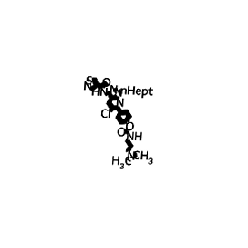 CCCCCCCn1nc(NC(=O)c2cnsc2)c2cc(Cl)c(-c3ccc(OC(=O)NCCCN(C)C)cc3)nc21